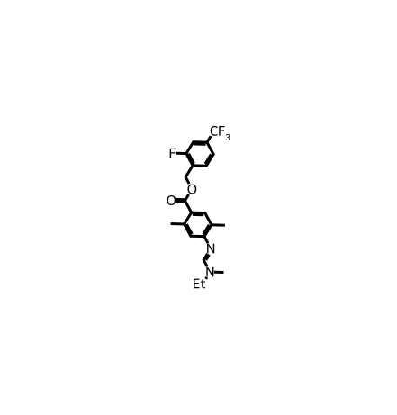 CCN(C)/C=N/c1cc(C)c(C(=O)OCc2ccc(C(F)(F)F)cc2F)cc1C